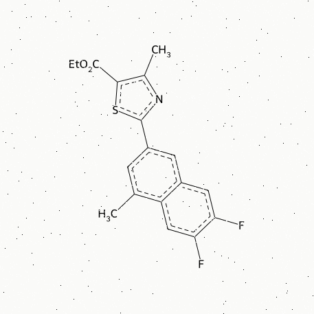 CCOC(=O)c1sc(-c2cc(C)c3cc(F)c(F)cc3c2)nc1C